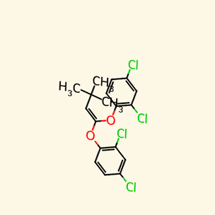 CC(C)(C)C=C(Oc1ccc(Cl)cc1Cl)Oc1ccc(Cl)cc1Cl